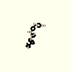 Cc1cscc1-c1cccc2c1ccn2-c1ccnc(N[C@H]2CC[C@H](C(=O)N3CCC(O)CC3)CC2)n1